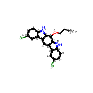 CNCCOc1c2[nH]c3ccc(Br)cc3c2cc2c1[nH]c1ccc(Br)cc12